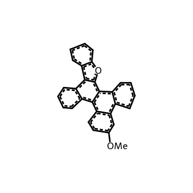 COc1ccc2c(c1)c1ccccc1c1c3oc4ccccc4c3c3ccccc3c21